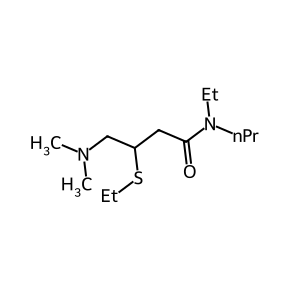 CCCN(CC)C(=O)CC(CN(C)C)SCC